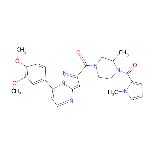 COc1ccc(-c2ccnc3cc(C(=O)N4CCN(C(=O)c5cccn5C)C(C)C4)nn23)cc1OC